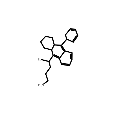 CCC(CCCN)C1=c2ccccc2=C(C2C=CC=CC2)C2CCCCC12